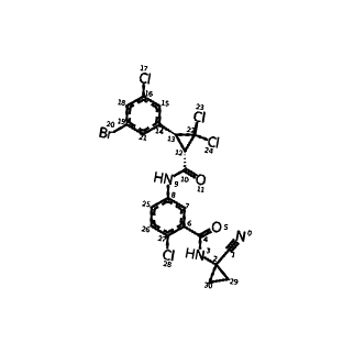 N#CC1(NC(=O)c2cc(NC(=O)[C@@H]3[C@@H](c4cc(Cl)cc(Br)c4)C3(Cl)Cl)ccc2Cl)CC1